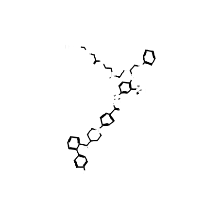 CN(CCOC(=O)COCC(=O)O)CC[C@H](CSc1ccccc1)Nc1ccc(S(=O)(=O)NC(=O)c2ccc(N3CCC([C@@H](O)c4ccccc4-c4ccc(Cl)cc4)CC3)cc2)cc1S(=O)(=O)C(F)(F)F